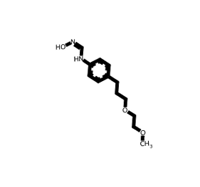 COCCOCCCc1ccc(N/C=N\O)cc1